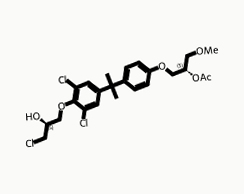 COC[C@@H](COc1ccc(C(C)(C)c2cc(Cl)c(OC[C@H](O)CCl)c(Cl)c2)cc1)OC(C)=O